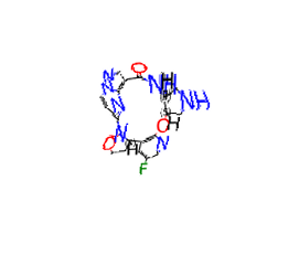 O=C1N[C@@H]2CNC[C@@H]2Oc2ncc(F)cc2[C@@H]2CCON2c2ccn3ncc1c3n2